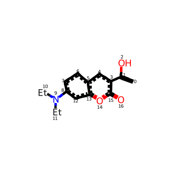 C=C(O)c1cc2ccc(N(CC)CC)cc2oc1=O